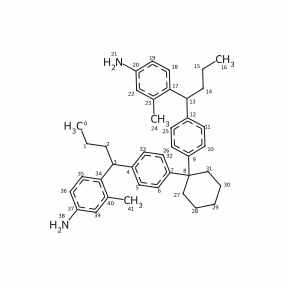 CCCC(c1ccc(C2(c3ccc(C(CCC)c4ccc(N)cc4C)cc3)CCCCC2)cc1)c1ccc(N)cc1C